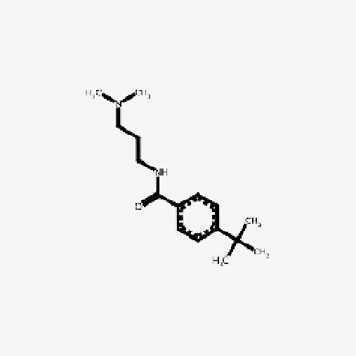 CN(C)CCCNC(=O)c1ccc(C(C)(C)C)cc1